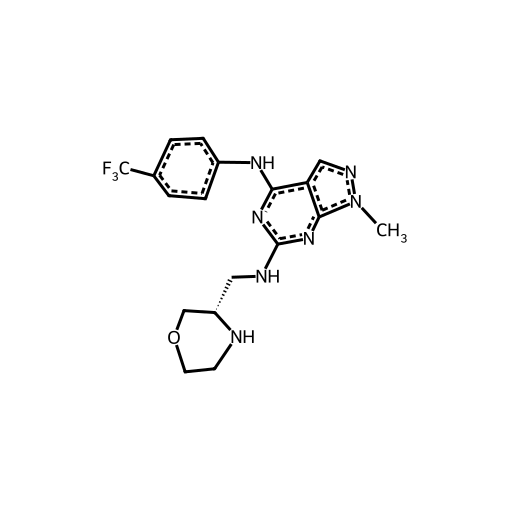 Cn1ncc2c(Nc3ccc(C(F)(F)F)cc3)nc(NC[C@H]3COCCN3)nc21